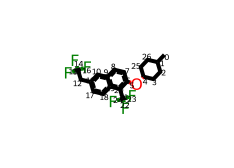 CC1CCC(Oc2ccc3cc(CC(F)(F)F)ccc3c2C(F)(F)F)CC1